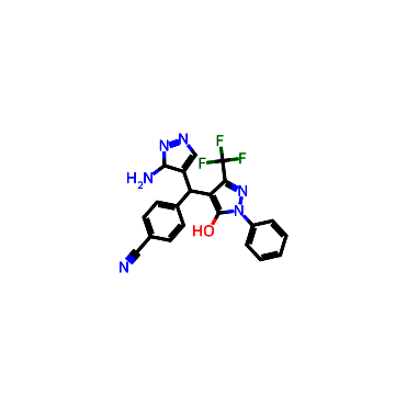 N#Cc1ccc(C(C2=CN=NC2N)c2c(C(F)(F)F)nn(-c3ccccc3)c2O)cc1